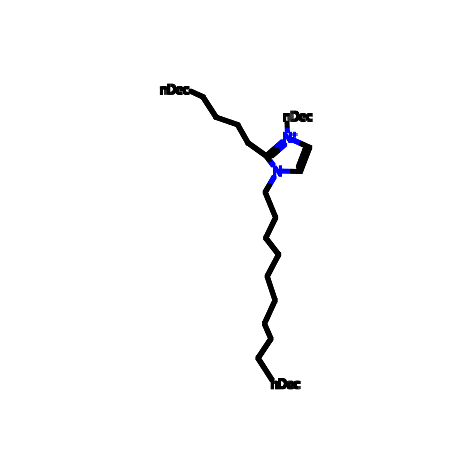 CCCCCCCCCCCCCCCCCCCn1cc[n+](CCCCCCCCCC)c1CCCCCCCCCCCCCC